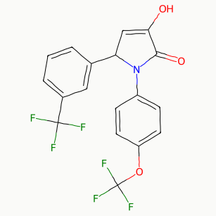 O=C1C(O)=CC(c2cccc(C(F)(F)F)c2)N1c1ccc(OC(F)(F)F)cc1